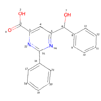 O=C(O)c1cc(C(O)c2ccccc2)nc(-c2ccccc2)n1